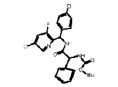 CC(C)(C)OC(=O)NC(C(=O)NC(c1ccc(Cl)cc1)c1ncc(Cl)cc1F)c1ccccc1